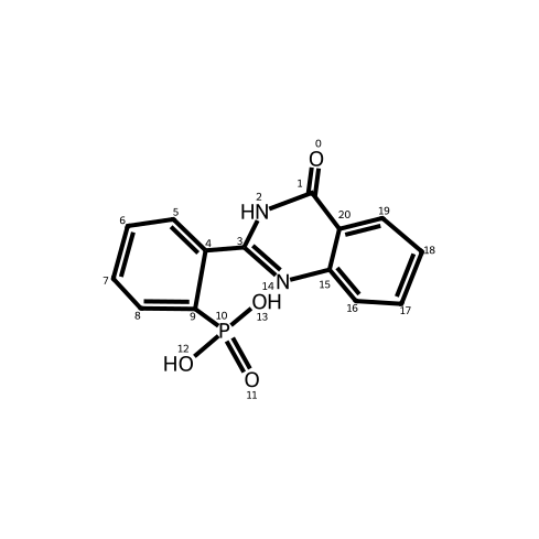 O=c1[nH]c(-c2ccccc2P(=O)(O)O)nc2ccccc12